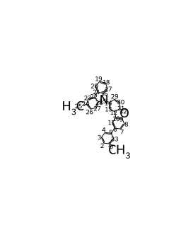 Cc1cccc(-c2ccc3c(c2)C2C=C(n4c5ccccc5c5cc(C)ccc54)C=CC2O3)c1